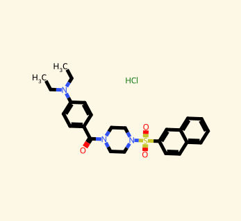 CCN(CC)c1ccc(C(=O)N2CCN(S(=O)(=O)c3ccc4ccccc4c3)CC2)cc1.Cl